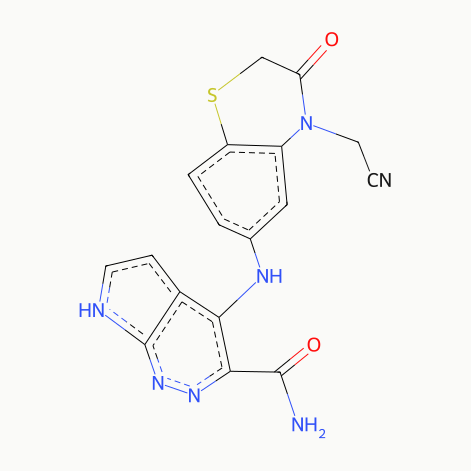 N#CCN1C(=O)CSc2ccc(Nc3c(C(N)=O)nnc4[nH]ccc34)cc21